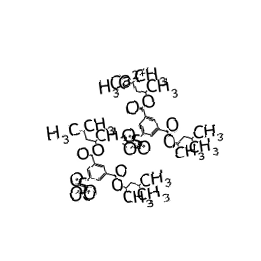 CC(C)CC(C)OC(=O)c1cc(C(=O)OC(C)CC(C)C)cc(S(=O)(=O)[O-])c1.CC(C)CC(C)OC(=O)c1cc(C(=O)OC(C)CC(C)C)cc(S(=O)(=O)[O-])c1.[Ca+2]